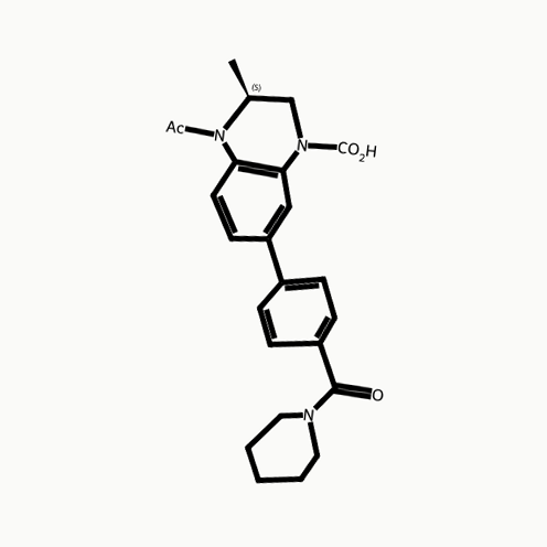 CC(=O)N1c2ccc(-c3ccc(C(=O)N4CCCCC4)cc3)cc2N(C(=O)O)C[C@@H]1C